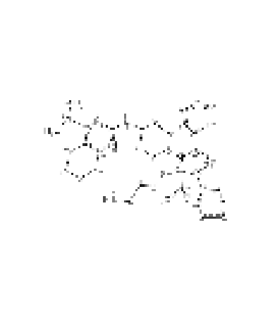 CN(C)c1nc(NC2CCC(N(C(=O)c3ccccc3)C(CCCCN)(C(N)=O)C(=O)c3ccccc3)CC2)nc2c1CCCC2